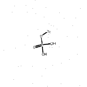 O=P(O)(O)[O][Tc]